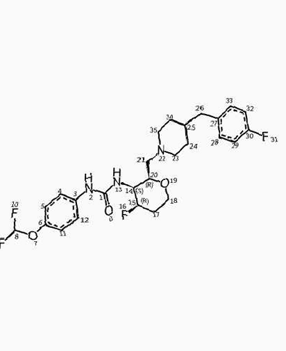 O=C(Nc1ccc(OC(F)F)cc1)N[C@@H]1[C@H](F)CCO[C@@H]1CN1CCC(Cc2ccc(F)cc2)CC1